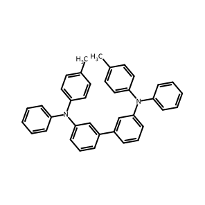 Cc1ccc(N(c2ccccc2)c2cccc(-c3cccc(N(c4ccccc4)c4ccc(C)cc4)c3)c2)cc1